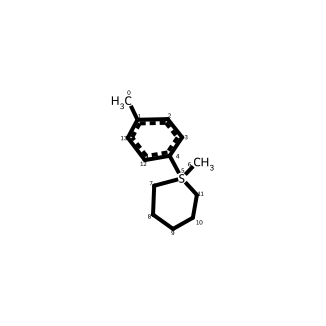 Cc1ccc(S2(C)CCCCC2)cc1